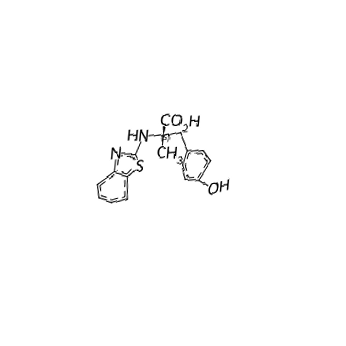 C[C@@](Cc1ccc(O)cc1)(Nc1nc2ccccc2s1)C(=O)O